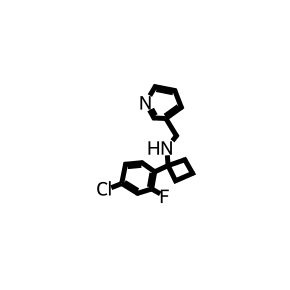 Fc1cc(Cl)ccc1C1(NCc2cccnc2)CCC1